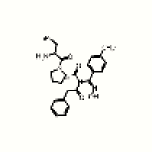 [CH2]c1ccc(C(=NO)N(C(=O)Cc2ccccc2)C(=O)[C@@H]2CCCN2C(=O)C(N)CC(C)C)cc1